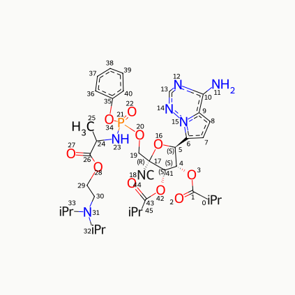 CC(C)C(=O)O[C@H]1[C@H](c2ccc3c(N)ncnn23)O[C@](C#N)(COP(=O)(NC(C)C(=O)OCCN(C(C)C)C(C)C)Oc2ccccc2)[C@H]1OC(=O)C(C)C